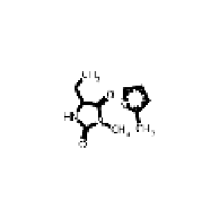 CCC1NC(=O)N(C)C1=O.Cc1cccs1